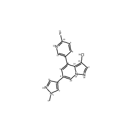 Cn1cc(-c2cc(-c3ccc(F)nc3)c3c(Cl)cnn3c2)cn1